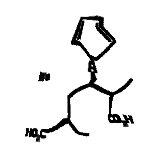 CC(CC(C(C)C(=O)O)[SH]1C=CC=C1)C(=O)O.[Fe]